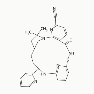 CC1(C)CC2CCC(c3ccccn3)Nc3cccc(n3)SNC(=O)c3ccc(C#N)nc3N1C2